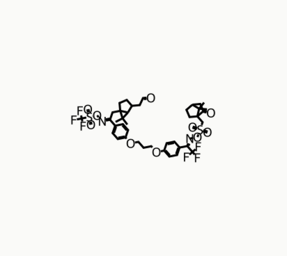 CC1(C)C2CCC1(CS(=O)(=O)O/N=C(/c1ccc(OCCCOc3ccc(/C(CC45CCC(CC=O)C4C5(C)C)=N/OS(=O)(=O)C(F)(F)F)cc3)cc1)C(F)(F)F)C(=O)C2